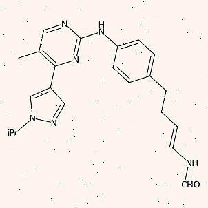 Cc1cnc(Nc2ccc(CCC=CNC=O)cc2)nc1-c1cnn(C(C)C)c1